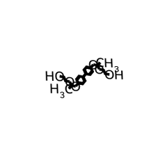 CC(OCCO)Oc1ccc(-c2ccc(OC(C)OCCO)cc2)cc1